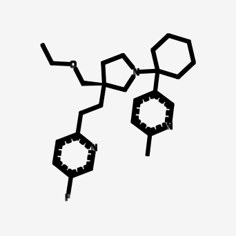 CCOC[C@@]1(CCc2ccc(F)cn2)CCN(C2(c3ccc(C)nc3)CCCCC2)C1